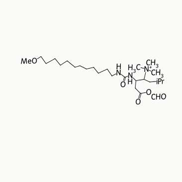 COCCCCCCCCCCCCNC(=O)NC(CC(=O)OC=O)C(CC(C)C)[N+](C)(C)C